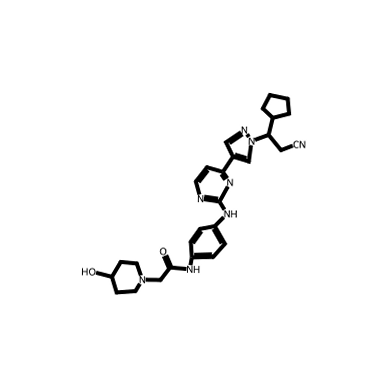 N#CCC(C1CCCC1)n1cc(-c2ccnc(Nc3ccc(NC(=O)CN4CCC(O)CC4)cc3)n2)cn1